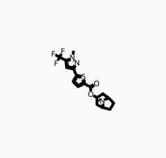 CN1C2CCC1CC(OC(=O)c1ccc(-c3cc(C(F)(F)F)n(C)n3)s1)C2